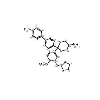 COc1ccc(C2(c3ccc(-c4cnc(N)nc4)cc3)[CH]CC(N)CC2)cc1OC1CCCC1